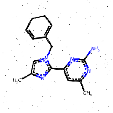 Cc1cc(-c2nc(C)cn2CC2=CCCC=C2)nc(N)n1